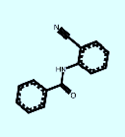 N#Cc1ccccc1NC(=O)c1ccccc1